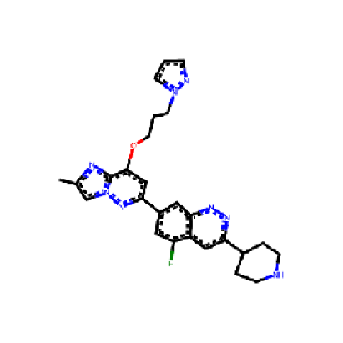 Cc1cn2nc(-c3cc(F)c4cc(C5CCNCC5)nnc4c3)cc(OCCCn3cccn3)c2n1